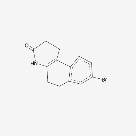 O=C1CCC2=C(CCc3cc(Br)ccc32)N1